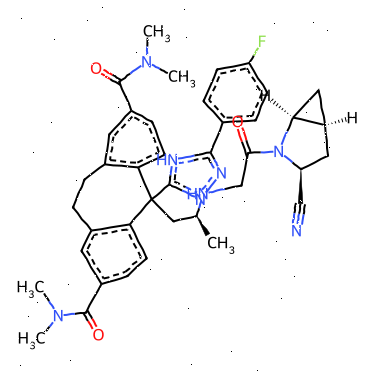 C[C@@H](CC1(c2nnc(-c3ccc(F)cc3)[nH]2)c2ccc(C(=O)N(C)C)cc2CCc2cc(C(=O)N(C)C)ccc21)NCC(=O)N1[C@H](C#N)C[C@@H]2C[C@@H]21